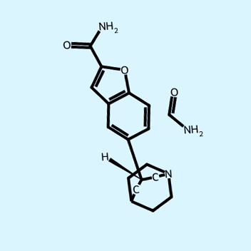 NC(=O)c1cc2cc([C@H]3CC4CCN(CC4)C3)ccc2o1.NC=O